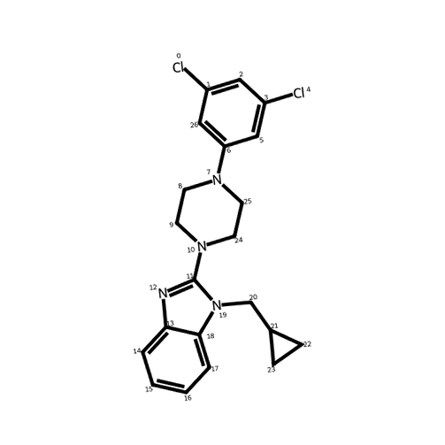 Clc1cc(Cl)cc(N2CCN(c3nc4ccccc4n3CC3CC3)CC2)c1